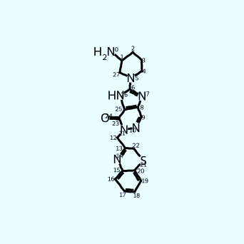 NC1CCCN(c2nc3cnn(CC4=Nc5ccccc5SC4)c(=O)c3[nH]2)C1